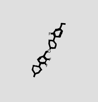 CCc1ccc(C2CCC(OCc3ccc(C4CCC(C)CC4)c(F)c3F)CC2)c(F)c1